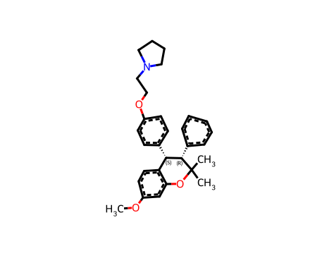 COc1ccc2c(c1)OC(C)(C)[C@@H](c1ccccc1)[C@H]2c1ccc(OCCN2CCCC2)cc1